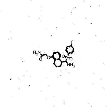 NC(=O)COc1cccc2c1CCCC2C(N)S(=O)(=O)c1ccc(F)cc1